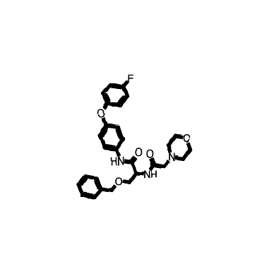 O=C(CN1CCOCC1)NC(COCc1ccccc1)C(=O)Nc1ccc(Oc2ccc(F)cc2)cc1